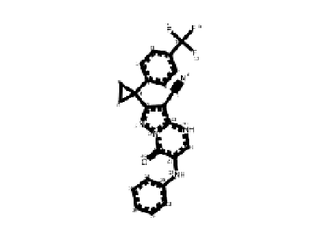 N#Cc1c(C2(c3ccc(C(F)(F)F)cc3)CC2)nn2c(=O)c(Nc3ccccc3)c[nH]c12